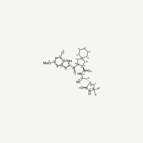 COc1cc(Cl)c2[nH]c(C(=O)N3CC4(CCCCC4)C[C@H]3C(=O)NC(C#N)C[C@@H]3CC(C)(C)NC3=O)cc2c1